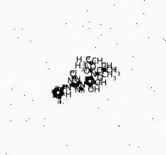 CC(C)(C)OC(=O)N(C(=O)OC(C)(C)C)[C@H]1C[C@@H](n2cnc3c(NCc4cccc(I)c4)nc(Cl)nc32)[C@H](O)[C@@H]1O